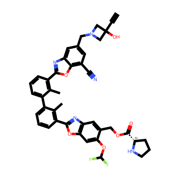 C#CC1(O)CN(Cc2cc(C#N)c3oc(-c4cccc(-c5cccc(-c6nc7cc(COC(=O)[C@@H]8CCCN8)c(OC(F)F)cc7o6)c5C)c4C)nc3c2)C1